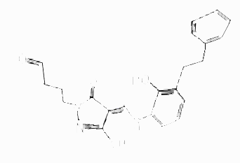 CC1=NN(CCCC=O)C(=O)/C1=C/Nc1cccc(CCc2ccccc2)c1O